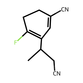 CC(CC#N)C1=C(F)CCC(C#N)=C1